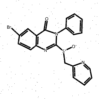 O=c1c2cc(Br)ccc2nc([S+]([O-])Cc2ccccn2)n1-c1ccccc1